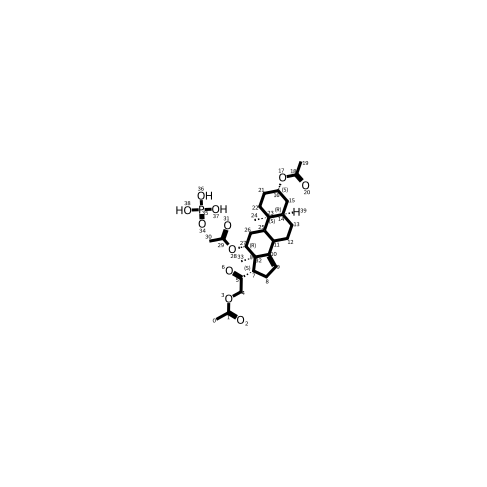 CC(=O)OCC(=O)[C@H]1CC=C2C3CC[C@@H]4C[C@@H](OC(C)=O)CC[C@]4(C)C3C[C@@H](OC(C)=O)[C@@]21C.O=P(O)(O)O